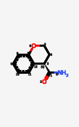 NC(=O)[C@H]1CCOc2ccccc21